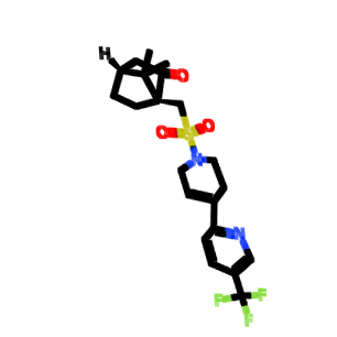 CC1(C)[C@@H]2CC[C@@]1(CS(=O)(=O)N1CC=C(c3ccc(C(F)(F)F)cn3)CC1)C(=O)C2